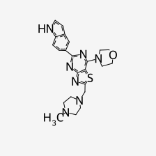 CN1CCN(Cc2nc3nc(-c4ccc5[nH]ccc5c4)nc(N4CCOCC4)c3s2)CC1